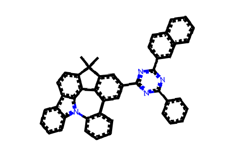 CC1(C)c2cc(-c3nc(-c4ccccc4)nc(-c4ccc5ccccc5c4)n3)cc3c2-c2c1ccc1c4ccccc4n(c21)-c1ccccc1-3